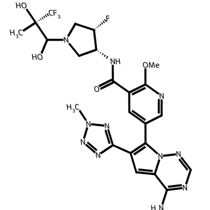 COc1ncc(-c2c(-c3nnn(C)n3)cc3c(N)ncnn23)cc1C(=O)N[C@@H]1CN(C(O)[C@@](C)(O)C(F)(F)F)C[C@@H]1F